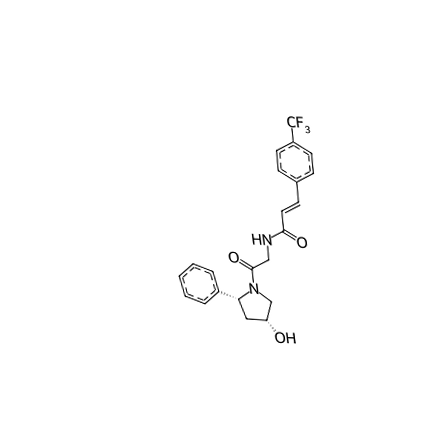 O=C(/C=C/c1ccc(C(F)(F)F)cc1)NCC(=O)N1C[C@H](O)C[C@@H]1c1ccccc1